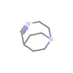 C1#[N+]CCN2CCC1CC2